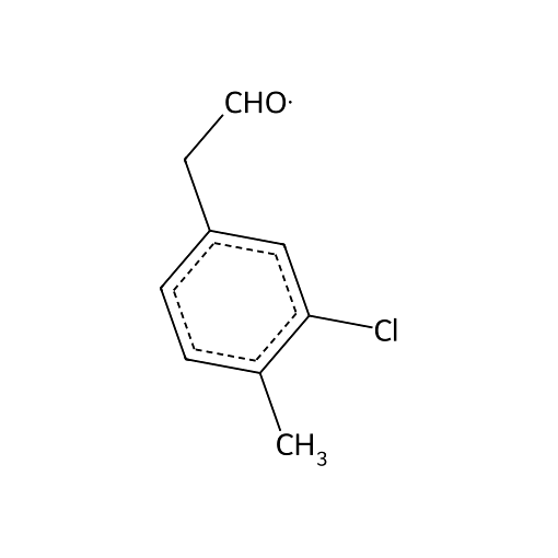 Cc1ccc(C[C]=O)cc1Cl